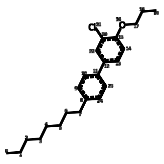 CCCCCCCCc1ccc(-c2ccc(OCCC)c(Cl)c2)cc1